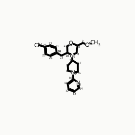 COCC1CN(C2CCN(c3ccccn3)CC2)C(Cc2ccc(Cl)cc2)CO1